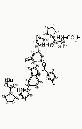 Cc1ccc(C2Oc3cc(-c4cnc([C@@H]5CCCN5C(=O)[C@@H](NC(=O)O)C(C)C)[nH]4)cc(F)c3-c3cc4cc(-c5cnc([C@@H]6CCCN6C(=O)OC(C)(C)C)[nH]5)ccc4n32)s1